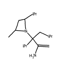 C=C(N)C(CC(C)C)(C(C)C)N1C(C)CC1C(C)C